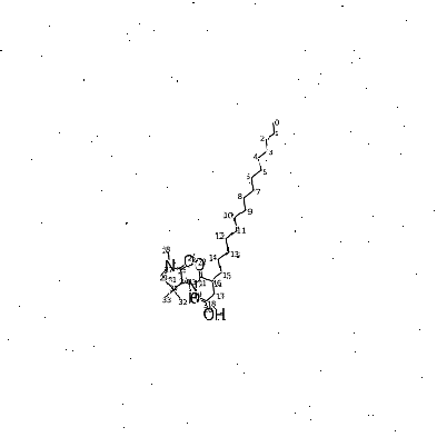 CCCCCCCCCCCCCCCCC(CC(=O)O)C(=O)NC(C(=O)N(C)C)C(C)(C)C